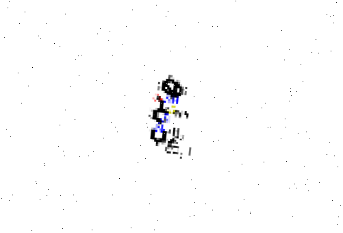 CCCSc1nc(N2CCC[C@@H](C(C)C(=O)O)C2)ccc1C(=O)NC12CC3CC(CC(C3)C1)C2